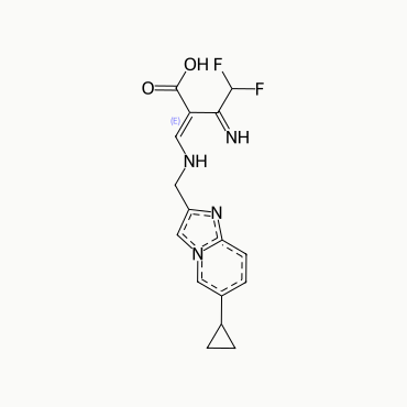 N=C(/C(=C\NCc1cn2cc(C3CC3)ccc2n1)C(=O)O)C(F)F